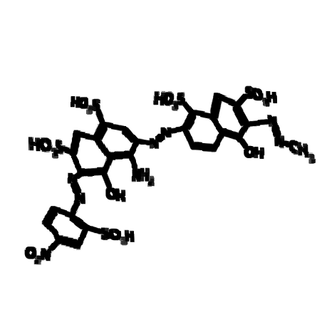 CN=Nc1c(S(=O)(=O)O)cc2c(S(=O)(=O)O)c(N=Nc3cc(S(=O)(=O)O)c4cc(S(=O)(=O)O)c(N=Nc5ccc([N+](=O)[O-])cc5S(=O)(=O)O)c(O)c4c3N)ccc2c1O